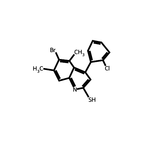 Cc1cc2nc(S)cc(-c3ccccc3Cl)c2c(C)c1Br